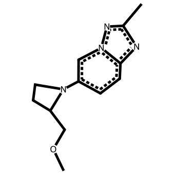 COCC1CCN1c1ccc2nc(C)nn2c1